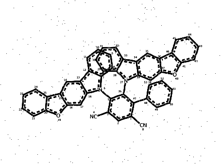 N#Cc1cc(C#N)c(-n2c3ccccc3c3cc4c(cc32)oc2ccccc24)c(-n2c3ccccc3c3cc4c(cc32)oc2ccccc24)c1-c1ccccc1